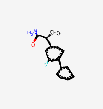 NC(=O)[C@@H]([C]=O)c1ccc(-c2ccccc2)c(F)c1